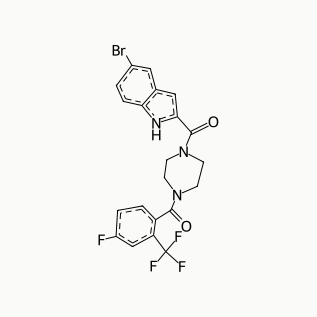 O=C(c1cc2cc(Br)ccc2[nH]1)N1CCN(C(=O)c2ccc(F)cc2C(F)(F)F)CC1